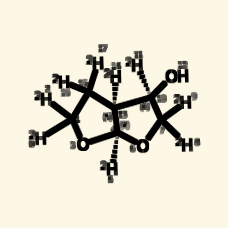 [2H]C1([2H])O[C@]2([2H])OC([2H])([2H])[C@]([2H])(O)[C@]2([2H])C1([2H])[2H]